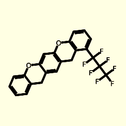 FC(F)(F)C(F)(F)C(F)(F)c1cccc2c1Cc1cc3c(cc1O2)Oc1ccccc1C3